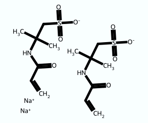 C=CC(=O)NC(C)(C)CS(=O)(=O)[O-].C=CC(=O)NC(C)(C)CS(=O)(=O)[O-].[Na+].[Na+]